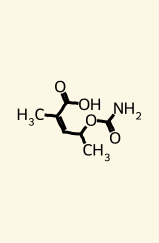 CC(=CC(C)OC(N)=O)C(=O)O